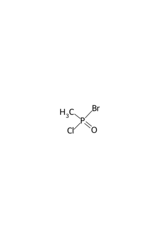 CP(=O)(Cl)Br